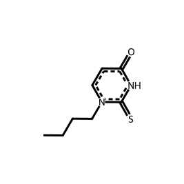 CCCCn1ccc(=O)[nH]c1=S